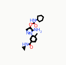 Cc1ccc(C(=O)NC2CC2)cc1-n1ncc(OC(=O)NC2CCCCC2)c1N